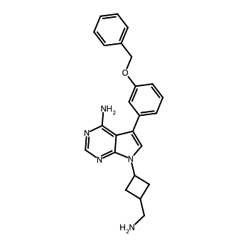 NCC1CC(n2cc(-c3cccc(OCc4ccccc4)c3)c3c(N)ncnc32)C1